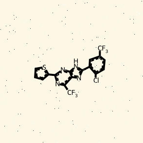 FC(F)(F)c1ccc(Cl)c(-c2nc3c(C(F)(F)F)nc(-c4cccs4)nc3[nH]2)c1